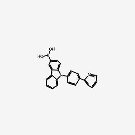 OB(O)c1ccc2c(c1)c1ccccc1n2-c1ccc(-c2ccccn2)cc1